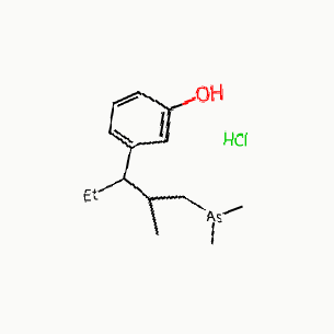 CCC(c1cccc(O)c1)C(C)C[As](C)C.Cl